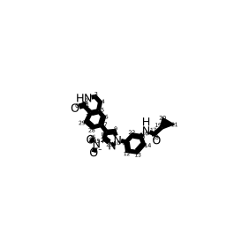 O=C1NCCc2cc(-c3cn(-c4cccc(NC(=O)C5CC5)c4)nc3[N+](=O)[O-])ccc21